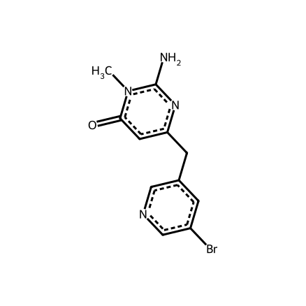 Cn1c(N)nc(Cc2cncc(Br)c2)cc1=O